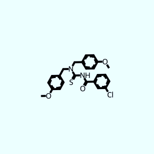 COc1ccc(CN(Cc2ccc(OC)cc2)C(=S)NC(=O)c2cccc(Cl)c2)cc1